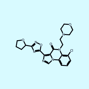 O=c1c2c(-c3nc(C4CCCO4)no3)ncn2c2cccc(Cl)c2n1CCN1CCOCC1